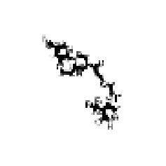 C[C@@H](COCCC(=O)N1CCN2c3ncc(C#N)cc3OCC[C@@H]2C1)Nc1cn[nH]c(=O)c1C(F)(F)F